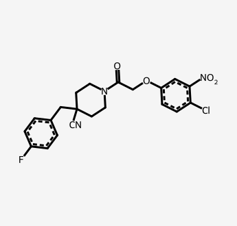 N#CC1(Cc2ccc(F)cc2)CCN(C(=O)COc2ccc(Cl)c([N+](=O)[O-])c2)CC1